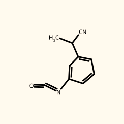 CC(C#N)c1cccc(N=C=O)c1